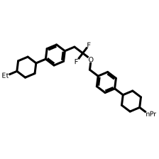 CCCC1CCC(c2ccc(COC(F)(F)Cc3ccc(C4CCC(CC)CC4)cc3)cc2)CC1